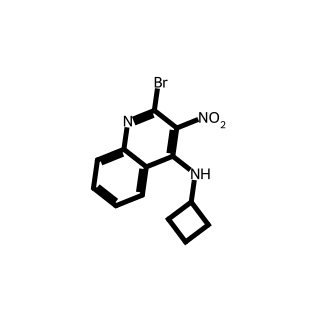 O=[N+]([O-])c1c(Br)nc2ccccc2c1NC1CCC1